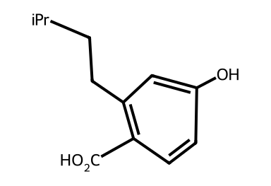 CC(C)CCc1cc(O)ccc1C(=O)O